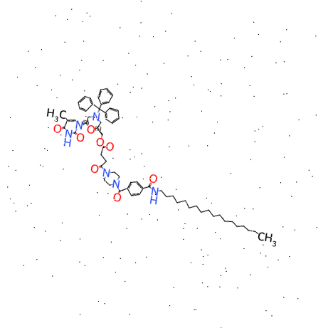 CCCCCCCCCCCCCCCCCCNC(=O)c1ccc(C(=O)N2CCN(C(=O)CCC(=O)OC[C@@H]3CN(C(c4ccccc4)(c4ccccc4)c4ccccc4)C[C@H](n4cc(C)c(=O)[nH]c4=O)O3)CC2)cc1